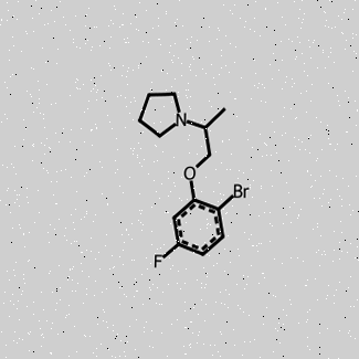 CC(COc1cc(F)ccc1Br)N1CCCC1